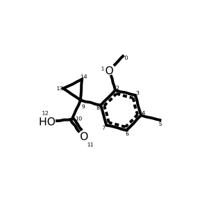 COc1cc(C)ccc1C1(C(=O)O)CC1